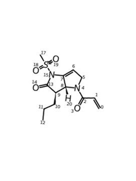 C=CC(=O)N1CC=C2[C@H]1[C@@H](CCC)C(=O)N2S(C)(=O)=O